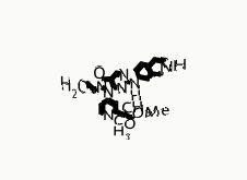 C=CCn1c(=O)c2cnc(Nc3ccc4c(c3)CNCC4)nc2n1-c1ccnc(C(C)(C)C(=O)OC)c1